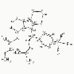 CCOC(=O)CC1CCCc2c3c(n([C@H](CCC(C)C)c4ccc(C(F)(F)F)cc4)c21)CCCC3